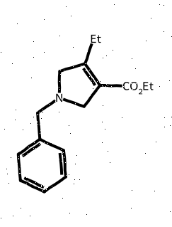 CCOC(=O)C1=C(CC)CN(Cc2ccccc2)C1